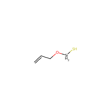 C=CCO[SiH2]S